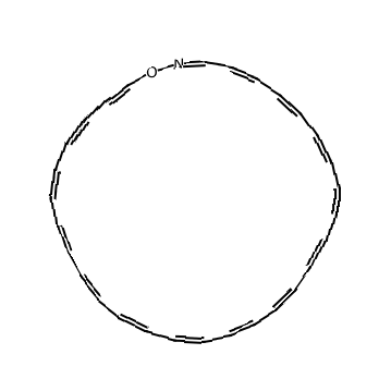 C1=CC=CC=CC=CC=CC=CC=CC=NOC=CC=CC=CC=CC=CC=CC=C1